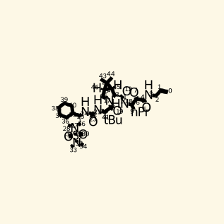 C=CCNC(=O)C(=O)C(CCC)NC(=O)[C@@H]1[C@@H]2[C@H](CN1C(=O)[C@@H](NC(=O)N[C@H](CN(C)S(=O)(=O)N(C)C)C1CCCCC1)C(C)(C)C)C2(C)C